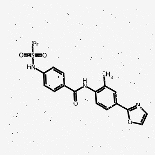 Cc1cc(-c2ncco2)ccc1NC(=O)c1ccc(NS(=O)(=O)C(C)C)cc1